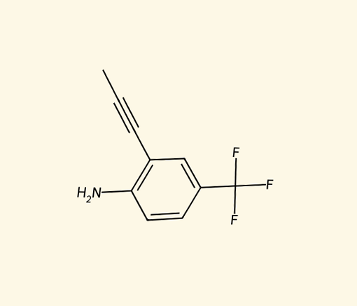 CC#Cc1cc(C(F)(F)F)ccc1N